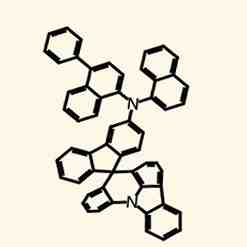 c1ccc(-c2ccc(N(c3ccc4c(c3)-c3ccccc3C43c4ccccc4-n4c5ccccc5c5cccc3c54)c3cccc4ccccc34)c3ccccc23)cc1